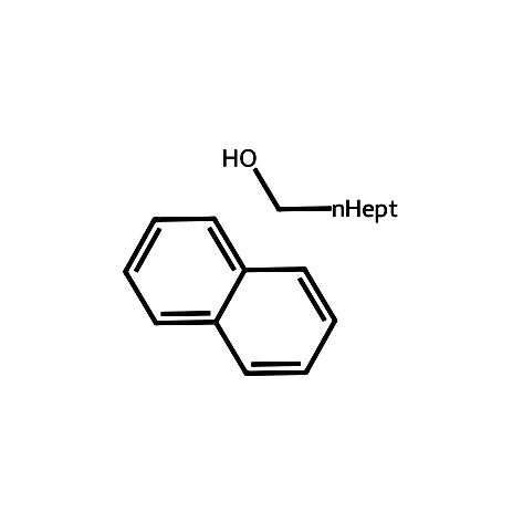 CCCCCCCCO.c1ccc2ccccc2c1